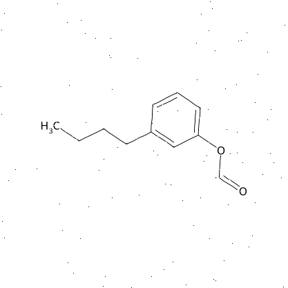 CCCCc1cccc(O[C]=O)c1